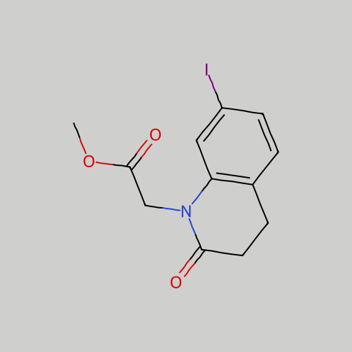 COC(=O)CN1C(=O)CCc2ccc(I)cc21